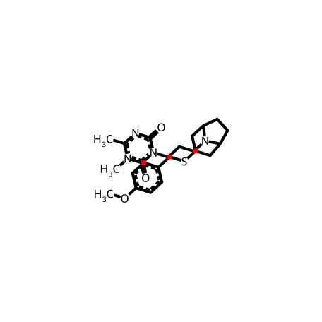 COc1ccc(CSC2CC3CCC(C2)N3CCCn2c(=O)nc(C)n(C)c2=O)cc1